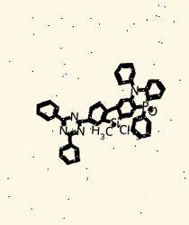 C[Si]1(C)c2cc(-c3nc(-c4ccccc4)nc(-c4ccccc4)n3)ccc2-c2cc3c(cc21)P(=O)(c1ccccc1)c1ccccc1N3c1ccccc1